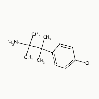 CC(C)(N)C(C)(C)c1ccc(Cl)cc1